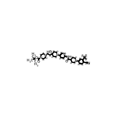 CC(C)(C)OC(=O)N1CCN(CCC2(O)CCN(c3ccc(NC(=O)C4CCN(c5ccc(C#N)c(C(F)(F)F)c5)CC4)nc3)CC2)CC1